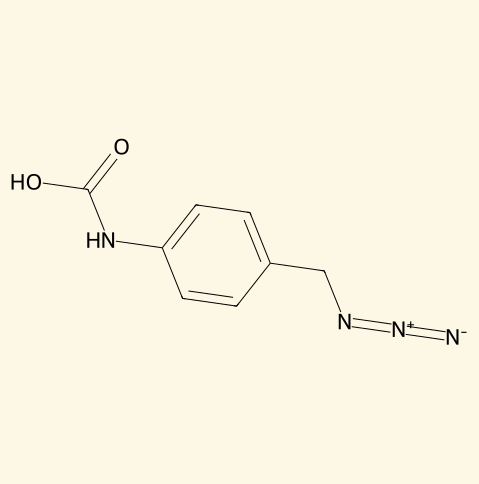 [N-]=[N+]=NCc1ccc(NC(=O)O)cc1